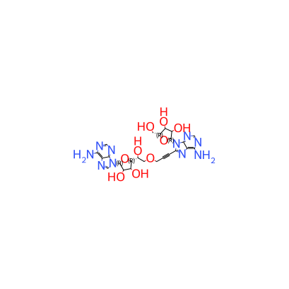 Nc1ncnc2c1ncn2[C@@H]1O[C@H](C(O)COCC#Cc2nc3c(N)ncnc3n2[C@@H]2O[C@H](CO)C(O)C2O)C(O)C1O